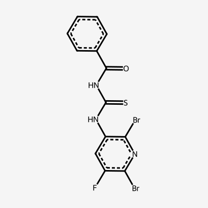 O=C(NC(=S)Nc1cc(F)c(Br)nc1Br)c1ccccc1